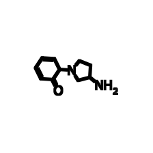 NC1CCN(C2C=CC=CC2=O)C1